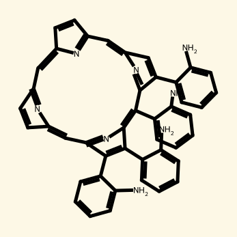 Nc1ccccc1C1=CC2=CC3=NC(=CC4=NC(=CC5=NC(=C(c6ccccc6N)C1=N2)C(c1ccccc1N)=C5c1ccccc1N)C=C4)C=C3